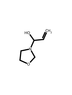 C=CC(O)N1CCOC1